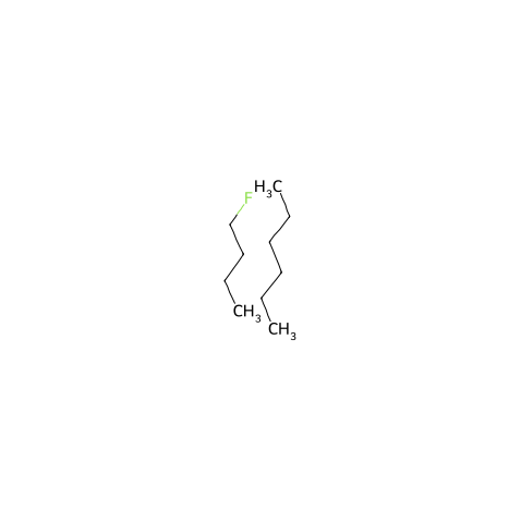 CCCCCC.CCCCF